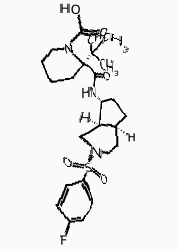 CC(C)(C)[C@]1(C(=O)N[C@@H]2CC[C@H]3CN(S(=O)(=O)c4ccc(F)cc4)C[C@H]32)CCCCN1C(=O)O